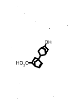 O=C(O)C1CC2(C3CC4CC3CC4O)C=CC1C2